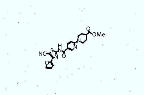 COC(=O)C1CCN(c2ccc(C(=O)Nc3nc(-c4ccco4)c(C#N)s3)cn2)CC1